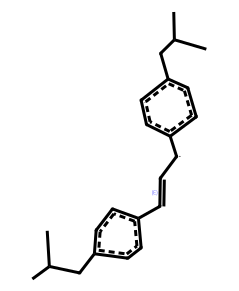 CC(C)Cc1ccc([CH]/C=C/c2ccc(CC(C)C)cc2)cc1